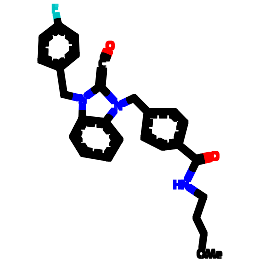 COCCCNC(=O)c1ccc(CN2C(=C=O)N(Cc3ccc(F)cc3)c3ccccc32)cc1